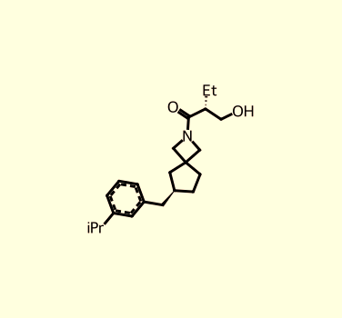 CC[C@H](CO)C(=O)N1CC2(CC[C@@H](Cc3cccc(C(C)C)c3)C2)C1